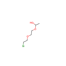 CC(O)OCCOCCBr